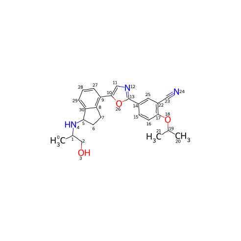 CC(CO)NC1CCc2c(-c3cnc(-c4ccc(OC(C)C)c(C#N)c4)o3)cccc21